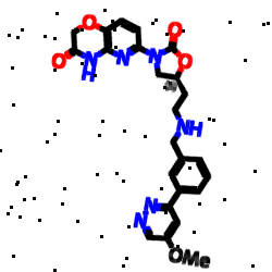 COc1cnnc(-c2cccc(CNCC[C@H]3CN(c4ccc5c(n4)NC(=O)CO5)C(=O)O3)c2)c1